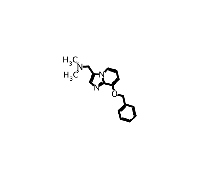 CN(C)Cc1cnc2c(OCc3ccccc3)cccn12